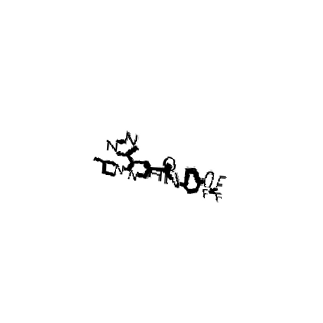 CC1CCN(c2ncc(C(=O)Nc3ccc(OC(F)(F)F)cc3)cc2-c2cncnc2)C1